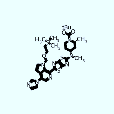 C[C@@H]1C[C@@H](N(C)c2nc3sc(-c4ncc(-n5ccnc5)c5ccn(COCC[Si](C)(C)C)c45)nc3s2)CCN1C(=O)OC(C)(C)C